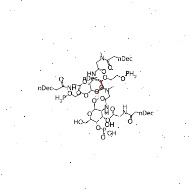 CCCCCCCCCCCC(=O)NCC(=O)O[C@@H]1[C@H](NC(=O)CN(C)C(=O)CCCCCCCCCCC)[C@@H](OCCOP)O[C@H](CO[C@@H]2O[C@H](CO)[C@@H](OP(=O)(O)O)[C@H](OC(=O)CNC(=O)CCCCCCCCCCC)[C@@H]2NC(=O)CN(C)C(=O)CCCCCCCCCCC)[C@H]1OCCOP